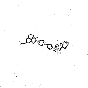 CC(C(=O)N1CCN(c2ccc(S(=O)(=O)Nc3ccncn3)cc2)CC1)N1CCCc2cc(CI)ccc21